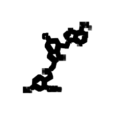 COc1cc(C#N)ccc1CNCc1cc2cc(Cl)cc(Cn3cnc4c(N)ncnc43)c2[nH]1